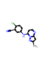 Cc1cc2nccc(Nc3ccc(Cl)c(C#N)c3)n2n1